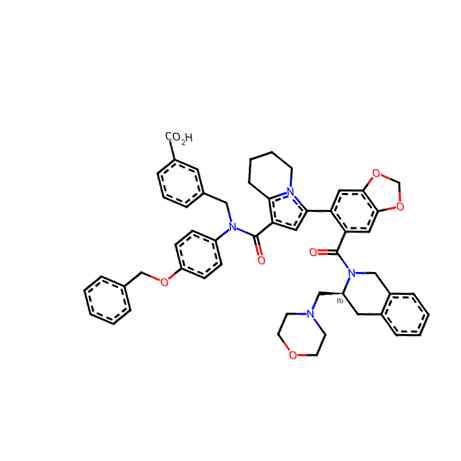 O=C(O)c1cccc(CN(C(=O)c2cc(-c3cc4c(cc3C(=O)N3Cc5ccccc5C[C@H]3CN3CCOCC3)OCO4)n3c2CCCC3)c2ccc(OCc3ccccc3)cc2)c1